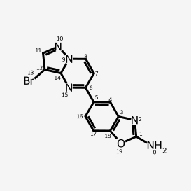 Nc1nc2cc(-c3ccn4ncc(Br)c4n3)ccc2o1